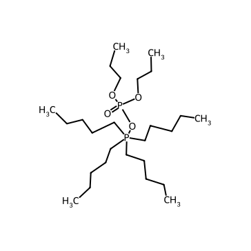 CCCCCP(CCCCC)(CCCCC)(CCCCC)OP(=O)(OCCC)OCCC